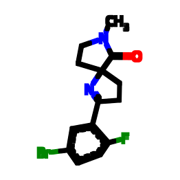 CN1CCC2(CCC(c3cc(Br)ccc3F)=N2)C1=O